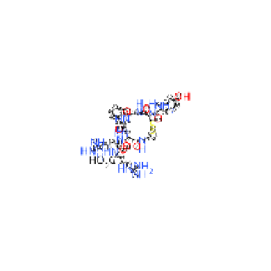 CC1(C)CNC(=O)CC(C(=O)NC(CCCNC(=N)N)C(=O)NC(CCCNC(=N)N)C(=O)O)NC(=O)C(Cc2ccccc2)NC(=O)CNC(=O)C(NC(=O)C(N)Cc2ccc(O)cc2)CSS1